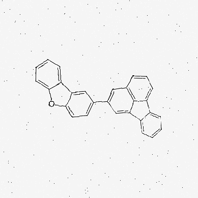 c1ccc2c(c1)-c1cccc3cc(-c4ccc5oc6ccccc6c5c4)cc-2c13